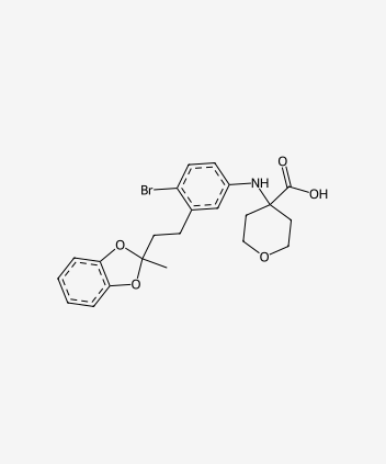 CC1(CCc2cc(NC3(C(=O)O)CCOCC3)ccc2Br)Oc2ccccc2O1